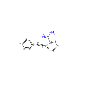 N=C(N)c1ccccc1C#Cc1ccccc1